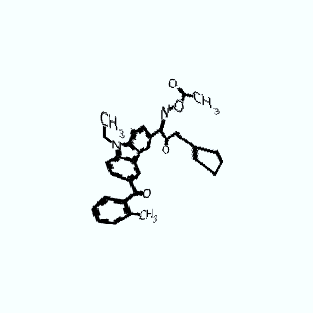 CCn1c2ccc(C(=O)c3ccccc3C)cc2c2cc(/C(=N/OC(C)=O)C(=O)CC3CCCC3)ccc21